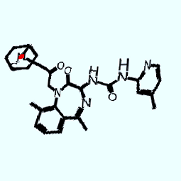 CC1=NC(NC(=O)Nc2cc(C)ccn2)C(=O)N(CC(=O)N2CC3CCC(CC3)C2)c2c(C)cccc21